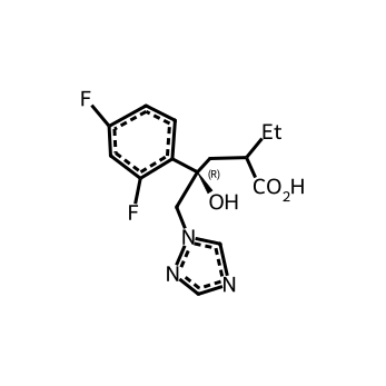 CCC(C[C@](O)(Cn1cncn1)c1ccc(F)cc1F)C(=O)O